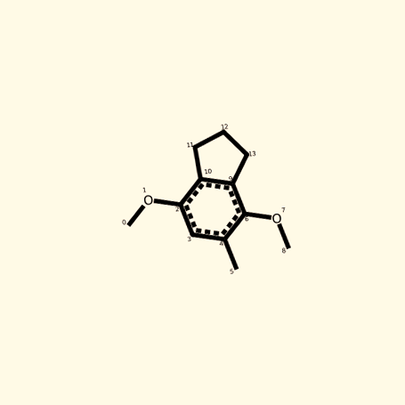 COc1cc(C)c(OC)c2c1CCC2